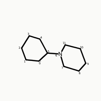 [CH]1CCCCC1N1CCCCC1